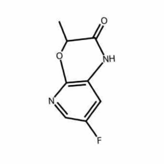 CC1Oc2ncc(F)cc2NC1=O